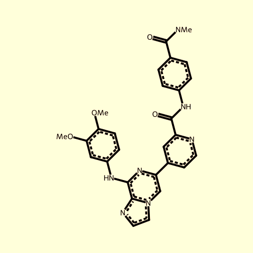 CNC(=O)c1ccc(NC(=O)c2cc(-c3cn4ccnc4c(Nc4ccc(OC)c(OC)c4)n3)ccn2)cc1